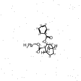 COC(=O)[C@H]1[C@@H](OC(=O)c2ccccc2)C[C@@H]2CC[C@H]1N2C.[PbH2]